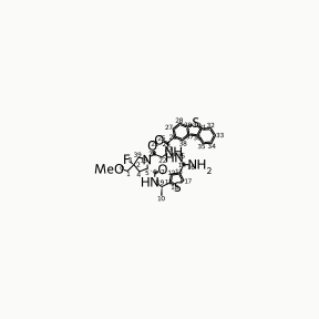 COC[C@@]1(F)C[C@@H](C(=O)N[C@H](C)c2cc(C(=N)N)cs2)N(C(=O)CNC(=O)c2ccc3sc4ccccc4c3c2)C1